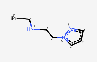 CC(C)CNCCn1cc[c]n1